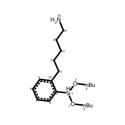 CCCCO[SiH](OCCCC)c1ccccc1CCCCCN